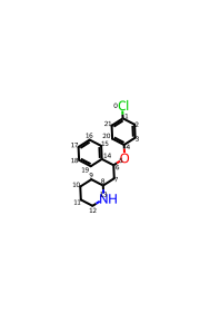 Clc1ccc(OC(CC2CCCCN2)c2ccccc2)cc1